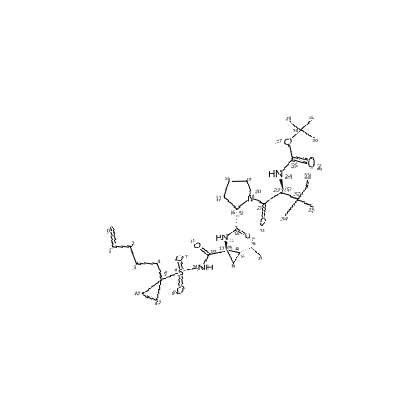 C=CCCCC1(S(=O)(=O)NC(=O)[C@@]2(NC(=O)[C@@H]3CCCN3C(=O)[C@@H](NC(=O)OC(C)(C)C)C(C)(C)C)C[C@H]2CC)CC1